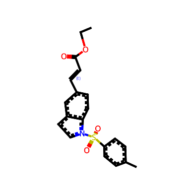 CCOC(=O)/C=C/c1ccc2c(ccn2S(=O)(=O)c2ccc(C)cc2)c1